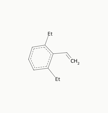 C=Cc1c(CC)cccc1CC